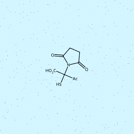 CC(=O)C(S)(C(=O)O)N1C(=O)CCC1=O